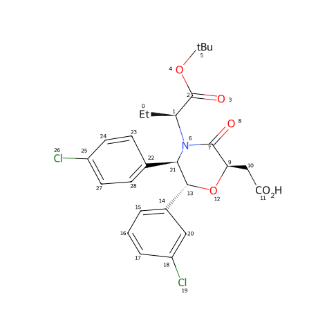 CC[C@@H](C(=O)OC(C)(C)C)N1C(=O)[C@@H](CC(=O)O)O[C@H](c2cccc(Cl)c2)[C@H]1c1ccc(Cl)cc1